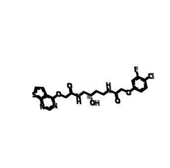 O=C(COc1ccc(Cl)c(F)c1)NCC[C@H](O)CNC(=O)COc1ncnc2sccc12